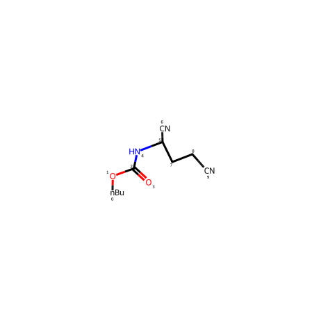 CCCCOC(=O)NC(C#N)CCC#N